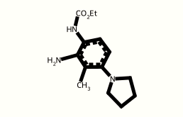 CCOC(=O)Nc1ccc(N2CCCC2)c(C)c1N